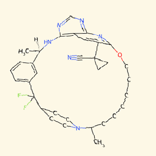 CC1CCCCCCOc2nc3ncnc(c3cc2C2(C#N)CC2)N[C@H](C)c2cccc(c2)C(F)(F)C2CCN1CC2